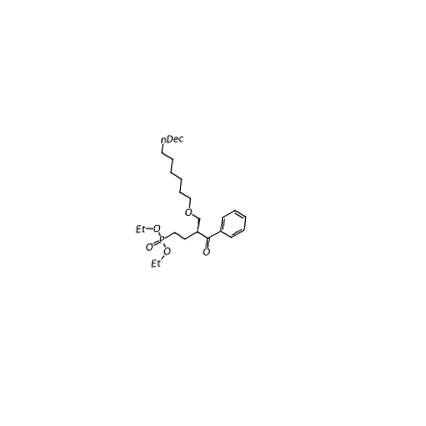 CCCCCCCCCCCCCCCCOC[C@H](CCP(=O)(OCC)OCC)C(=O)c1ccccc1